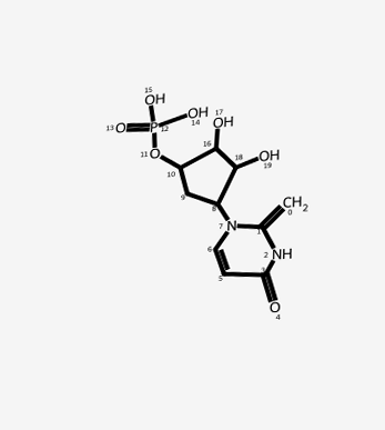 C=C1NC(=O)C=CN1C1CC(OP(=O)(O)O)C(O)C1O